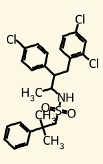 CC(NS(=O)(=O)CC(C)(C)c1ccccc1)C(Cc1ccc(Cl)cc1Cl)c1ccc(Cl)cc1